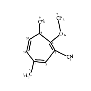 CC1=CC(C#N)=C(OC(F)(F)F)C(C#N)C=C1